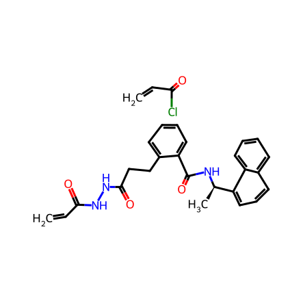 C=CC(=O)Cl.C=CC(=O)NNC(=O)CCc1ccccc1C(=O)N[C@H](C)c1cccc2ccccc12